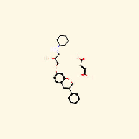 O=C(O)C=CC(=O)O.OC(CNC1CCCCC1)COc1ccc2c(c1)OCC(c1ccccc1)C2